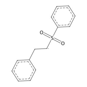 O=S(=O)([CH]Cc1ccccc1)c1ccccc1